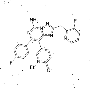 CCn1cc(-c2c(-c3ccc(F)cc3)nc(N)n3nc(Cc4ncccc4F)nc23)ccc1=O